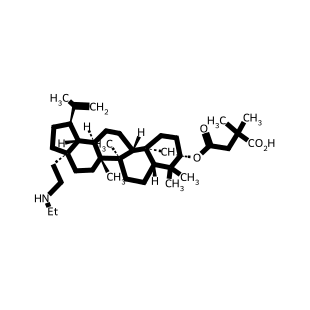 C=C(C)[C@@H]1CC[C@]2(CCNCC)CC[C@]3(C)[C@H](CC[C@@H]4[C@@]5(C)CC[C@H](OC(=O)CC(C)(C)C(=O)O)C(C)(C)[C@@H]5CC[C@]43C)[C@@H]12